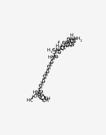 C#CCOCC(COCC#C)(COCC#C)NC(=O)CCOCCOCCOCCOCCOCCOCCNC(=O)CC[C@@H](C)NC(=O)c1ccc(N(Cc2cnc3nc(N)[nH]c(=O)c3n2)C(=O)C(F)(F)F)cc1